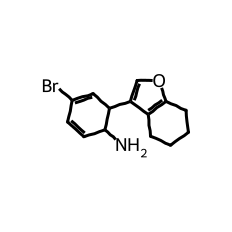 NC1C=CC(Br)=CC1c1coc2c1CCCC2